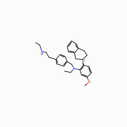 CCNCCc1ccc(CN(CC)c2cc(OC)ccc2[C@@H]2CCc3ccccc3C2)cc1